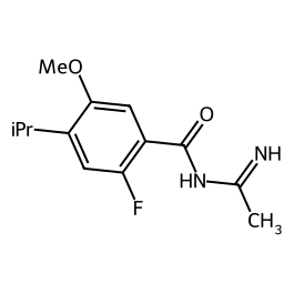 COc1cc(C(=O)NC(C)=N)c(F)cc1C(C)C